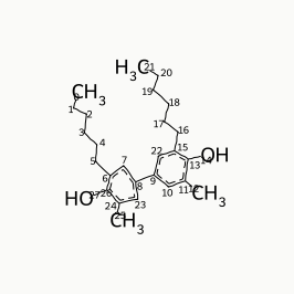 CCCCCCc1cc(-c2cc(C)c(O)c(CCCCCC)c2)cc(C)c1O